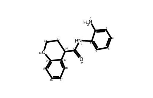 Nc1ccccc1NC(=O)C1CCOc2ccccc21